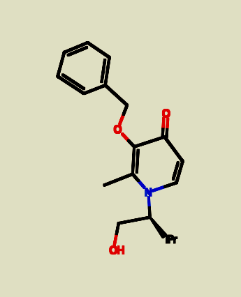 Cc1c(OCc2ccccc2)c(=O)ccn1[C@H](CO)C(C)C